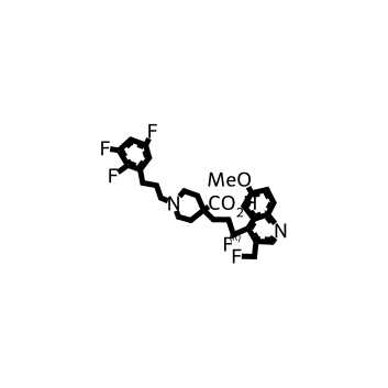 COc1ccc2ncc(CF)c([C@H](F)CCC3(C(=O)O)CCN(CCCc4cc(F)cc(F)c4F)CC3)c2c1